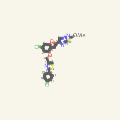 COc1nn2cc(-c3cc4c(OCc5csc(-c6ccc(Cl)cc6)n5)cc(Cl)cc4o3)nc2s1